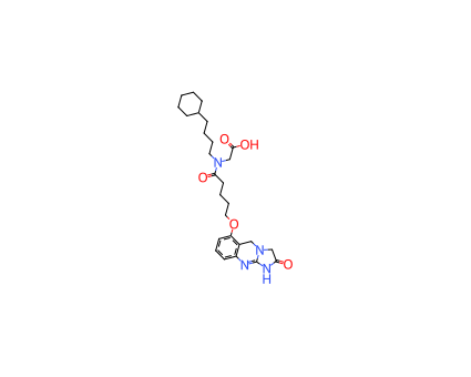 O=C(O)CN(CCCCC1CCCCC1)C(=O)CCCCOc1cccc2c1CN1CC(=O)NC1=N2